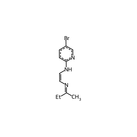 CC/C(C)=N\C=C/Nc1ccc(Br)cn1